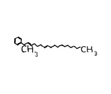 CCCCCCCCCCCCCCCCC=CC(C)c1ccccc1